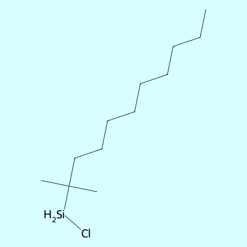 CCCCCCCCCC(C)(C)[SiH2]Cl